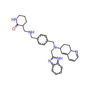 O=C1NCCCC1CNCc1ccc(CN(Cc2nc3ccccc3[nH]2)C2C=C3C=CC=NC3CC2)cc1